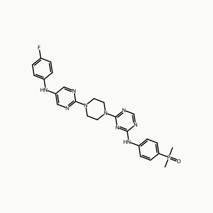 CP(C)(=O)c1ccc(Nc2ncnc(N3CCN(c4ncc(Nc5ccc(F)cc5)cn4)CC3)n2)cc1